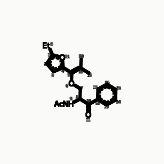 CCc1ccc(C(OCC(NC(C)=O)C(=O)c2ccccc2)=C(C)C)o1